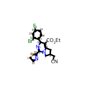 CCOC(=O)C1=C2CC(CC#N)CN2C(c2nccs2)=NC1c1ccc(F)cc1Br